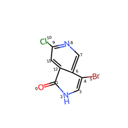 O=c1[nH]cc(Br)c2cnc(Cl)cc12